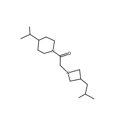 CC(C)CC1CN(CC(=O)N2CCC(C(C)C)CC2)C1